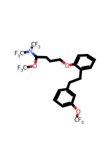 FC(F)(F)Oc1cccc(CCc2ccccc2OCCCC(OC(F)(F)F)N(C(F)(F)F)C(F)(F)F)c1